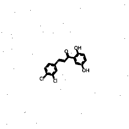 O=C(C=Cc1ccc(Cl)c(Cl)c1)c1cc(O)ccc1O